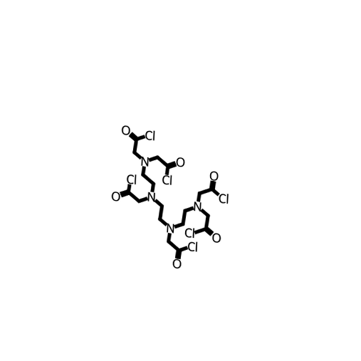 O=C(Cl)CN(CCN(CCN(CC(=O)Cl)CC(=O)Cl)CC(=O)Cl)CCN(CC(=O)Cl)CC(=O)Cl